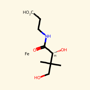 CC(C)(CO)[C@@H](O)C(=O)NCCC(=O)O.[Fe]